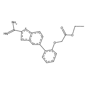 CCOC(=O)COc1ccccc1-c1ccc2sc(C(=N)N)cc2c1